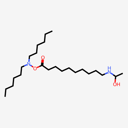 CCCCCCN(CCCCCC)OC(=O)CCCCCCCCCNC(C)O